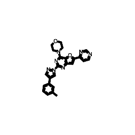 Cc1cccc(-c2cnn(-c3nc(N4CCOCC4)c4oc(-c5ccncn5)cc4n3)c2)c1